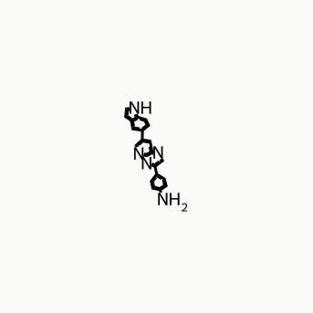 Nc1ccc(-c2cnc3cc(-c4ccc5[nH]ccc5c4)cnc3n2)cc1